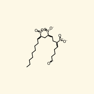 CCCCCCCC/C=C(\C/C(=C\C/C(=C\CCC[C]=O)[N+](=O)[O-])[N+](=O)[O-])[N+](=O)[O-]